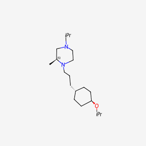 CC(C)O[C@H]1CC[C@H](CCCN2CCN(C(C)C)C[C@@H]2C)CC1